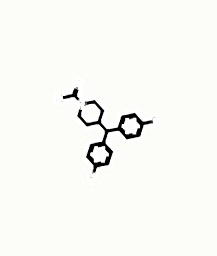 O=C(Cl)N1CCC(C(c2ccc(F)cc2)c2ccc(F)cc2)CC1